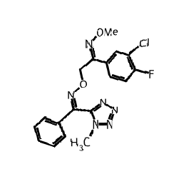 CO/N=C(/CON=C(c1ccccc1)c1nnnn1C)c1ccc(F)c(Cl)c1